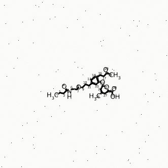 CCCC(=O)NCCOCCCc1ccc(CCC(C)=O)c(OC2CC(C)CC(C(=O)O)O2)c1